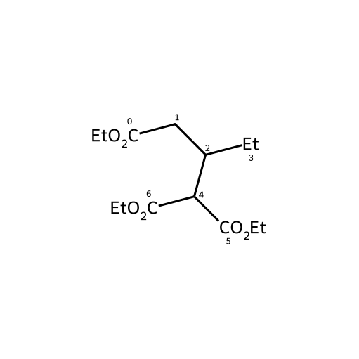 CCOC(=O)CC(CC)C(C(=O)OCC)C(=O)OCC